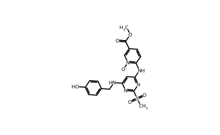 COC(=O)c1ccc(Nc2cc(NCc3ccc(O)cc3)nc(S(C)(=O)=O)n2)[n+]([O-])c1